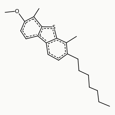 CCCCCCCc1ccc2c(sc3c(C)c(OC)ccc32)c1C